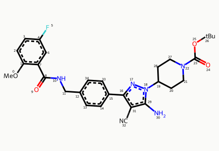 COc1ccc(F)cc1C(=O)NCc1ccc(-c2nn(C3CCN(C(=O)OC(C)(C)C)CC3)c(N)c2C#N)cc1